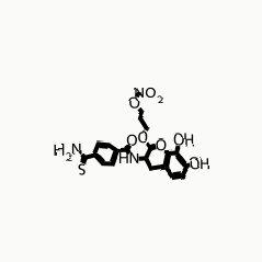 NC(=S)c1ccc(C(=O)NC(Cc2ccc(O)c(O)c2)C(=O)OCCCO[N+](=O)[O-])cc1